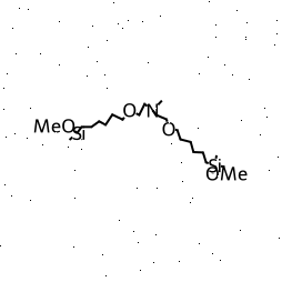 CO[Si](C)(C)CCCCCCOCCN(C)CCOCCCCCC[Si](C)(C)OC